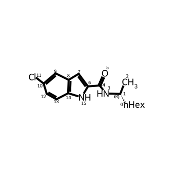 CCCCCC[C@@H](C)NC(=O)c1cc2cc(Cl)ccc2[nH]1